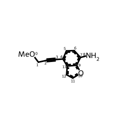 COCC#Cc1ccc(N)c2occc12